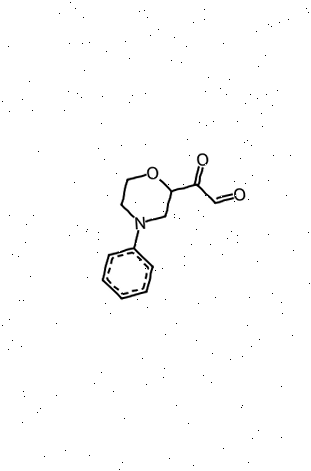 O=CC(=O)C1CN(c2ccccc2)CCO1